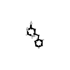 O=c1cc(Cc2ccccc2)[nH]cn1